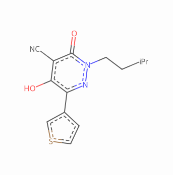 CC(C)CCn1nc(-c2ccsc2)c(O)c(C#N)c1=O